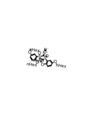 CCCCCCOc1ccc(OCCCCCC)c(S(=O)(=O)C(=[N+]=[N-])S(=O)(=O)c2cc(OCCCCCC)ccc2OCCCCCC)c1